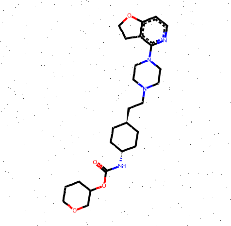 O=C(N[C@H]1CC[C@H](CCN2CCN(c3nccc4c3CCO4)CC2)CC1)OC1CCCOC1